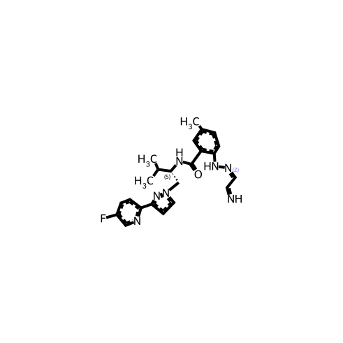 Cc1ccc(N/N=C\C=N)c(C(=O)N[C@H](Cn2ccc(-c3ccc(F)cn3)n2)C(C)C)c1